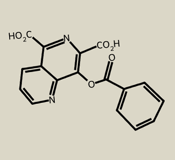 O=C(Oc1c(C(=O)O)nc(C(=O)O)c2cccnc12)c1ccccc1